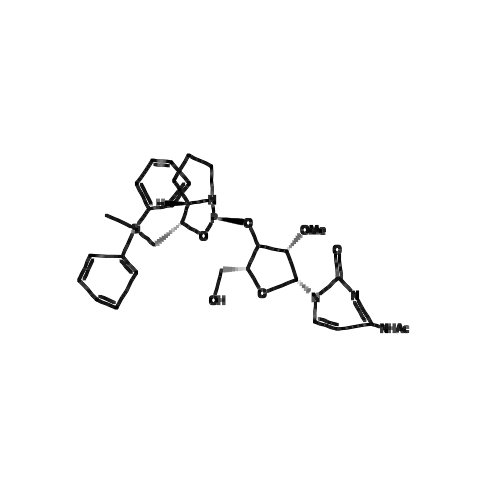 CO[C@H]1C(O[P@@]2O[C@H](C[Si](C)(c3ccccc3)c3ccccc3)[C@@H]3CCCN32)[C@@H](CO)O[C@H]1n1ccc(NC(C)=O)nc1=O